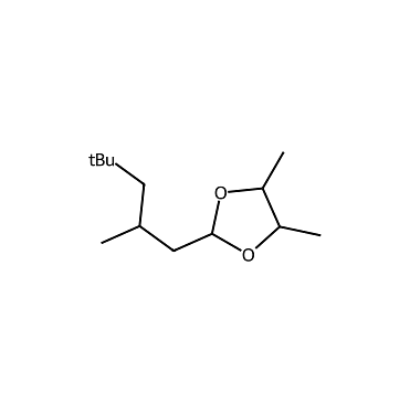 CC(CC1OC(C)C(C)O1)CC(C)(C)C